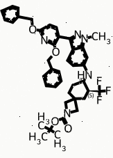 Cn1nc(-c2ccc(OCc3ccccc3)nc2OCc2ccccc2)c2ccc(N[C@@H]3CCC4(C[C@@H]3C(F)(F)F)CN(C(=O)OC(C)(C)C)C4)cc21